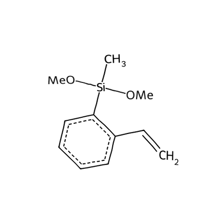 C=Cc1ccccc1[Si](C)(OC)OC